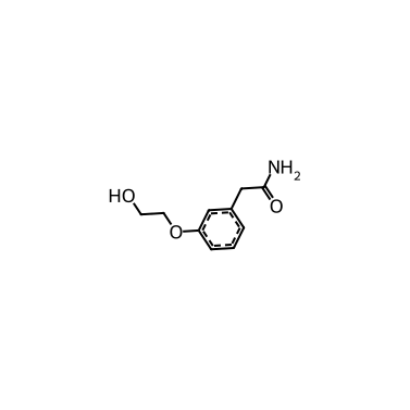 NC(=O)Cc1cccc(OCCO)c1